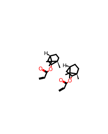 C=CC(=O)O[C@H]1C[C@@H]2CC[C@@]1(C)C2(C)C.C=CC(=O)O[C@H]1C[C@@H]2CC[C@@]1(C)C2(C)C